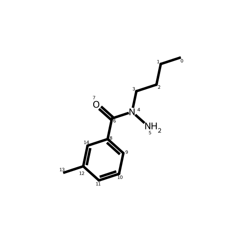 CCCCN(N)C(=O)c1cccc(C)c1